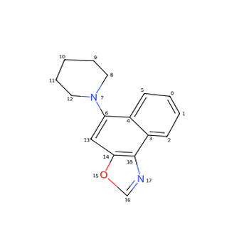 c1ccc2c(c1)c(N1CCCCC1)cc1ocnc12